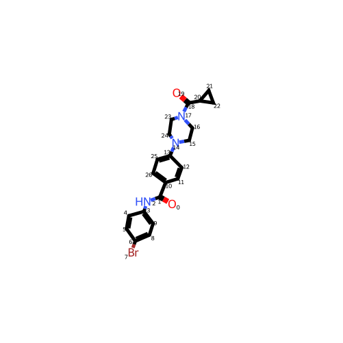 O=C(Nc1ccc(Br)cc1)c1ccc(N2CCN(C(=O)C3CC3)CC2)cc1